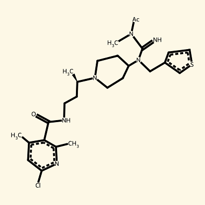 CC(=O)N(C)C(=N)N(Cc1ccsc1)C1CCN([C@H](C)CCNC(=O)c2c(C)cc(Cl)nc2C)CC1